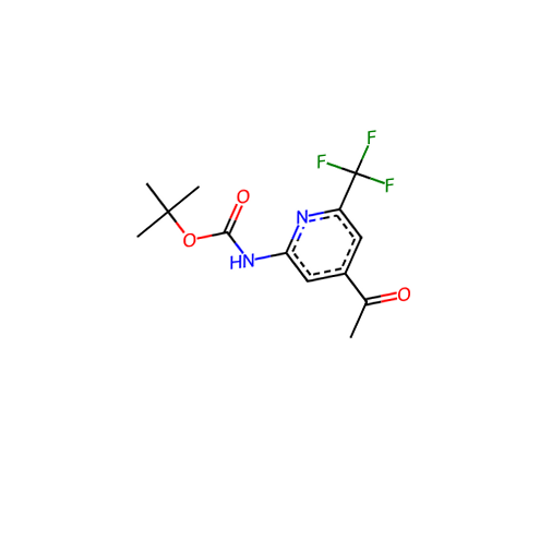 CC(=O)c1cc(NC(=O)OC(C)(C)C)nc(C(F)(F)F)c1